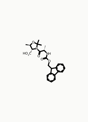 C[C@H](NC(=O)OCC1c2ccccc2-c2ccccc21)C(=O)N1[C@H](C(=O)O)[C@@H](C)OC1(C)C